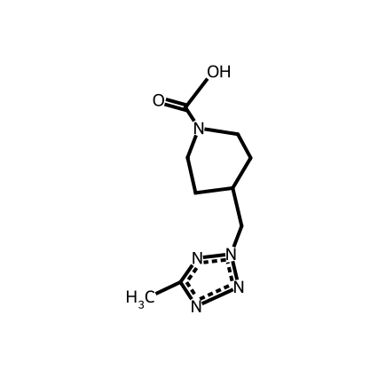 Cc1nnn(CC2CCN(C(=O)O)CC2)n1